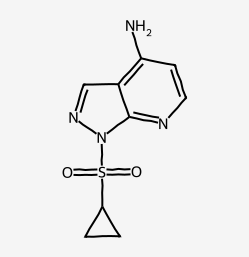 Nc1ccnc2c1cnn2S(=O)(=O)C1CC1